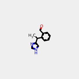 CC(c1c[nH]cn1)c1ccccc1C=O